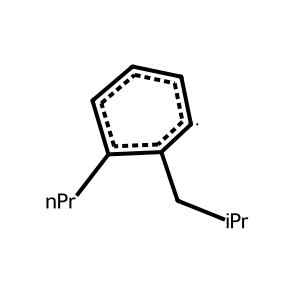 CCCc1ccc[c]c1CC(C)C